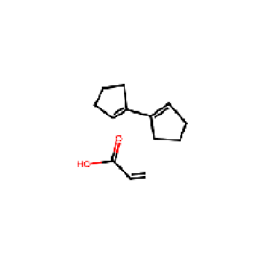 C1=C(C2=CCCC2)CCC1.C=CC(=O)O